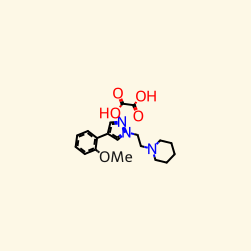 COc1ccccc1-c1cnn(CCN2CCCCC2)c1.O=C(O)C(=O)O